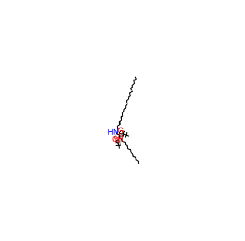 CCCCCCCCCCCCCCCCCCCCCCCCCC(=O)N[C@@H](CO)[C@H](O[Si](C)(C)C(C)(C)C)[C@@H](CCCCCCCCCCCCCC)O[Si](C)(C)C(C)(C)C